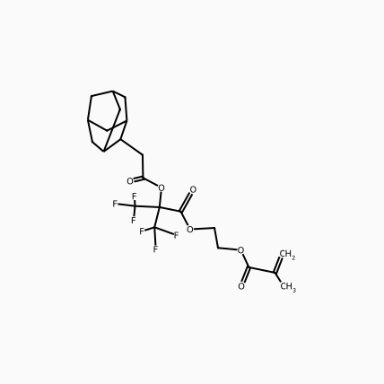 C=C(C)C(=O)OCCOC(=O)C(OC(=O)CC1C2CC3CC(C2)CC1C3)(C(F)(F)F)C(F)(F)F